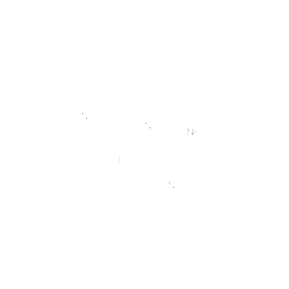 O=[N+]([O-])c1cnccc1Nc1ccncc1F